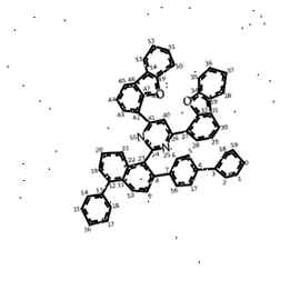 c1ccc(-c2ccc(-c3ccc4c(-c5ccccc5)cccc4c3-c3nc(-c4cccc5c4oc4ccccc45)cc(-c4cccc5c4oc4ccccc45)n3)cc2)cc1